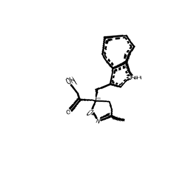 CC1=NO[C@](Cc2c[nH]c3ccccc23)(C(=O)O)C1